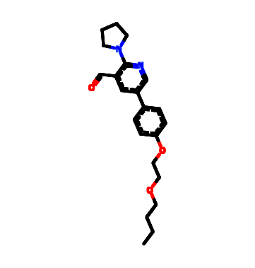 CCCCOCCOc1ccc(-c2cnc(N3CCCC3)c(C=O)c2)cc1